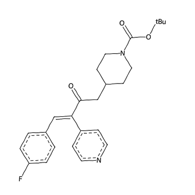 CC(C)(C)OC(=O)N1CCC(CC(=O)/C(=C/c2ccc(F)cc2)c2ccncc2)CC1